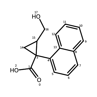 O=C(O)C1(c2cccc3ccccc23)CC1CO